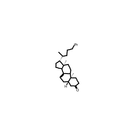 CC(C)CCCC(C)[C@H]1CCC2C3=CC[C@H]4CC(=O)CC[C@]4(C)C3CC[C@@]21C